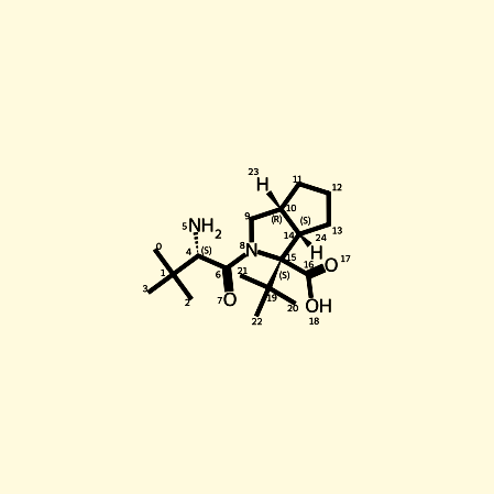 CC(C)(C)[C@H](N)C(=O)N1C[C@@H]2CCC[C@@H]2[C@@]1(C(=O)O)C(C)(C)C